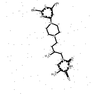 CCCc1cc(N2CCN(CCC(C)Cn3cc(C)c(=O)[nH]c3=O)CC2)nc(C(C)(C)C)n1